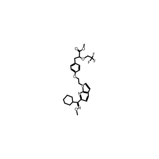 CON=C(c1ccc2ccn(CCOc3ccc(CC(OCC(F)(F)F)C(=O)OC)cc3)c2n1)C1CCCCC1